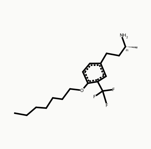 CCCCCCCOc1ccc(CC[C@@H](C)N)cc1C(F)(F)F